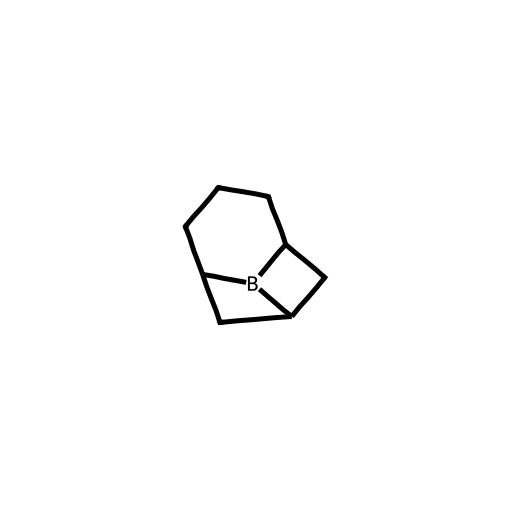 C1CC2CC3CC(C1)B23